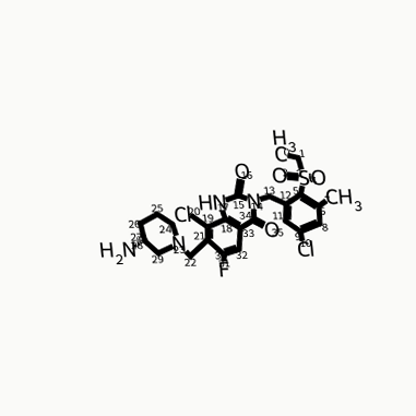 CCS(=O)(=O)c1c(C)cc(Cl)cc1Cn1c(=O)[nH]c2c(Cl)c(CN3CCC[C@@H](N)C3)c(F)cc2c1=O